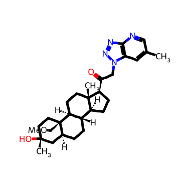 COC[C@]12CC[C@@](C)(O)C[C@@H]1CC[C@H]1[C@@H]3CC[C@H](C(=O)Cn4nnc5ncc(C)cc54)[C@@]3(C)CC[C@@H]12